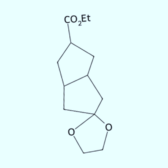 CCOC(=O)C1CC2CC3(CC2C1)OCCO3